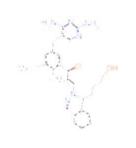 COc1cc(Cc2cnc(N)nc2N)cc(C(=O)/C=C/N2N=Cc3ccccc3C2CCCCO)c1OC